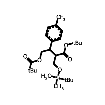 CC(C)(C)OC(=O)C(CO[Si](C)(C)C(C)(C)C)C(COC(=O)C(C)(C)C)c1ccc(C(F)(F)F)cc1